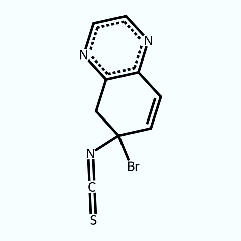 S=C=NC1(Br)C=Cc2nccnc2C1